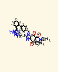 CCCCc1nc2c(n1Cc1ccc(-c3ccccc3-c3nnn[nH]3)cc1)C(=O)C(C(=O)N(C)C)=C(C)C2=O